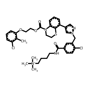 Cc1c(Cl)cccc1OCCOC(=O)N1CCSc2c(-c3cnn(Cc4cc(C(=O)NCCCC[N+](C)(C)C)ccc4Cl)c3)cccc21